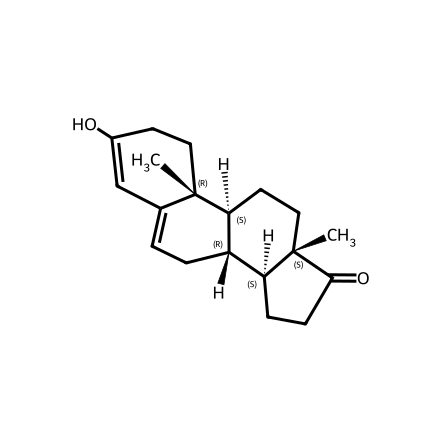 C[C@]12CCC(O)=CC1=CC[C@@H]1[C@@H]2CC[C@]2(C)C(=O)CC[C@@H]12